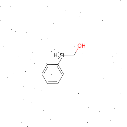 OC[SiH2]c1ccccc1